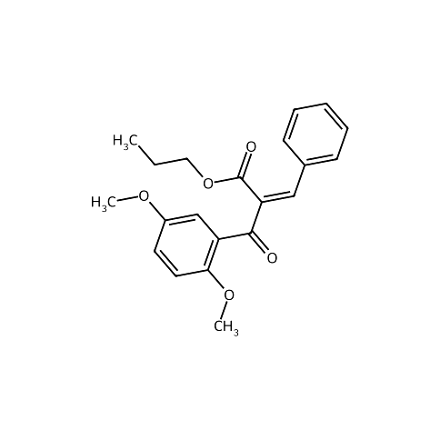 CCCOC(=O)C(=Cc1ccccc1)C(=O)c1cc(OC)ccc1OC